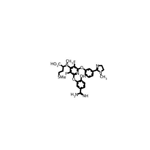 CSCCC(C(=O)O)N(C)c1c(F)c(Oc2cccc(C3=NCCN3C)c2)nc(Oc2cc(C(=N)N)ccc2O)c1F